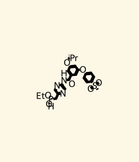 CCO[PH](=O)Cc1cnc(NC(=O)c2cc(Oc3ccc(S(C)(=O)=O)cc3)cc(OC(C)C)c2)cn1